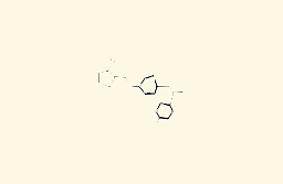 CNC1CCCC1COc1ccc(CC(C)c2ccc(F)cc2)cc1